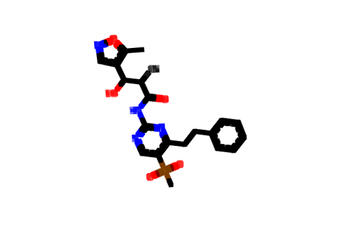 Cc1oncc1C(O)C(C#N)C(=O)Nc1ncc(S(C)(=O)=O)c(CCc2ccccc2)n1